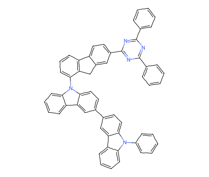 c1ccc(-c2nc(-c3ccccc3)nc(-c3ccc4c(c3)Cc3c-4cccc3-n3c4ccccc4c4cc(-c5ccc6c(c5)c5ccccc5n6-c5ccccc5)ccc43)n2)cc1